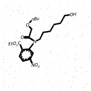 CCCCOCC(=O)N(CCCCCCO)c1cc([N+](=O)[O-])ccc1C(=O)OCC